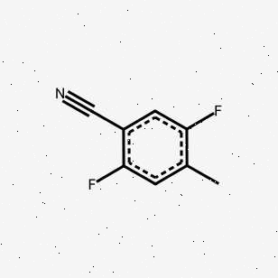 Cc1cc(F)c(C#N)cc1F